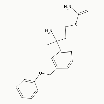 C=C(N)SCCC(C)(N)c1cccc(COc2ccccc2)c1